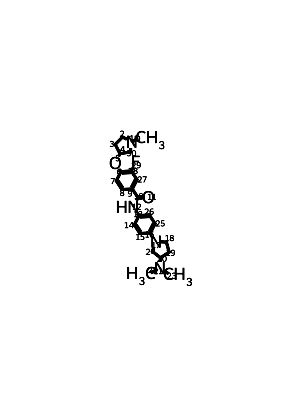 CN1CCC(Oc2ccc(C(=O)Nc3ccc(N4CCC(N(C)C)C4)cc3)cc2F)C1